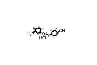 Cl.N#Cc1ccc(CCOc2cccc(N)c2)cc1